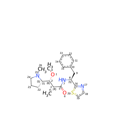 CO[C@H]([C@@H](C)C(=O)N[C@@H](Cc1ccccc1)c1nccs1)[C@@H]1CCCN1C